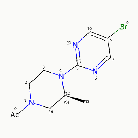 CC(=O)N1CCN(c2ncc(Br)cn2)[C@@H](C)C1